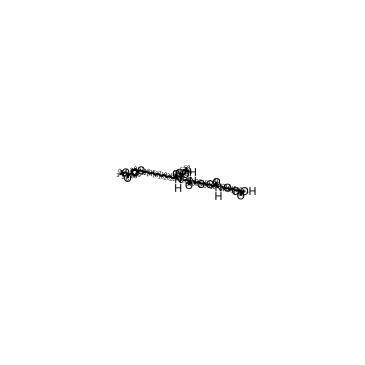 CC(C)(C)OC(=O)c1ccc(OCCCCCCCCCCCC(=O)N[C@@H](CCC(=O)NCCOCCOCC(=O)NCCOCCOCC(=O)O)C(=O)OC(C)(C)C)cc1